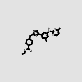 CCOC(=O)C1CCC(Cc2ncc(-c3cc(C)cc(Nc4nccc(C)n4)c3)s2)CC1